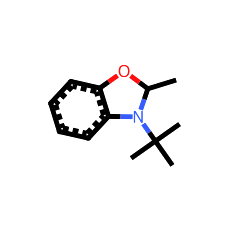 CC1Oc2ccccc2N1C(C)(C)C